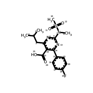 CC(C)Cc1nc(N(C)S(C)(=O)=O)nc(-c2ccc(F)cc2)c1C(=O)O